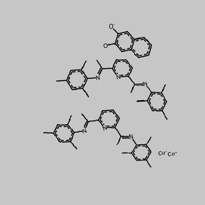 CC(=Nc1c(C)cc(C)cc1C)c1cccc(C(C)=Nc2c(C)cc(C)cc2C)n1.CC(=Nc1c(C)cc(C)cc1C)c1cccc(C(C)=Nc2c(C)cc(C)cc2C)n1.[Co+].[Co+].[O-]c1cc2ccccc2cc1[O-]